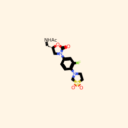 CC(=O)NC[C@H]1CN(c2ccc(N3CCS(=O)(=O)C3)c(F)c2)C(=O)O1